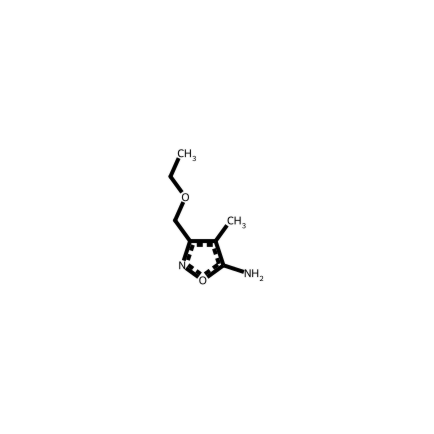 CCOCc1noc(N)c1C